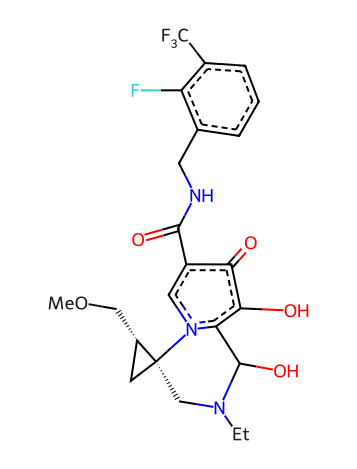 CCN1C[C@@]2(C[C@@H]2COC)n2cc(C(=O)NCc3cccc(C(F)(F)F)c3F)c(=O)c(O)c2C1O